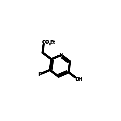 CCOC(=O)Cc1ncc(O)cc1F